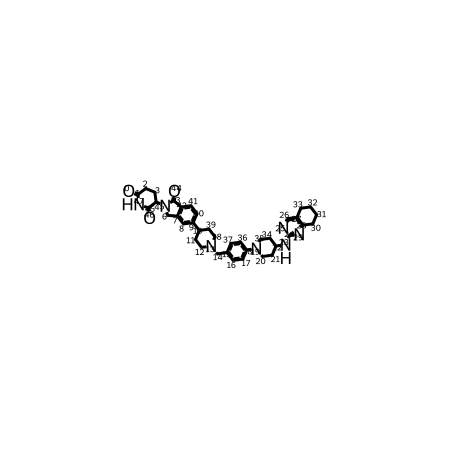 O=C1CCC(N2Cc3cc(C4CCN(Cc5ccc(N6CCC(Nc7ncc8c(n7)CCCC8)CC6)cc5)CC4)ccc3C2=O)C(=O)N1